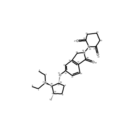 CCN(CC)[C@@H]1[C@@H](C)CC[C@H]1Oc1ccc2c(c1)CN(N1C(=O)CCCC1=O)C2=O